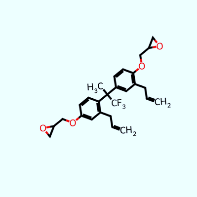 C=CCc1cc(C(C)(c2ccc(OCC3CO3)cc2CC=C)C(F)(F)F)ccc1OCC1CO1